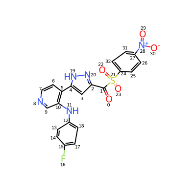 O=C(c1cc(-c2ccncc2Nc2ccc(F)cc2)[nH]n1)S(=O)(=O)c1ccc([N+](=O)[O-])cc1